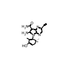 C#Cc1cnc2c(n1)c(C(N)=O)c(N)n2C1=C(C)C(O)=CC[C@H]1C